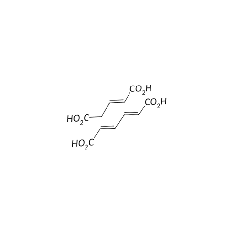 O=C(O)C=CC=CC(=O)O.O=C(O)C=CCC(=O)O